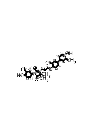 Cc1c(N2C(=O)N(CCCOc3ccc(C4=CC(C)N(O)C=C4)cc3Cl)C(C)(C)C2=O)ccc(C#N)c1Cl